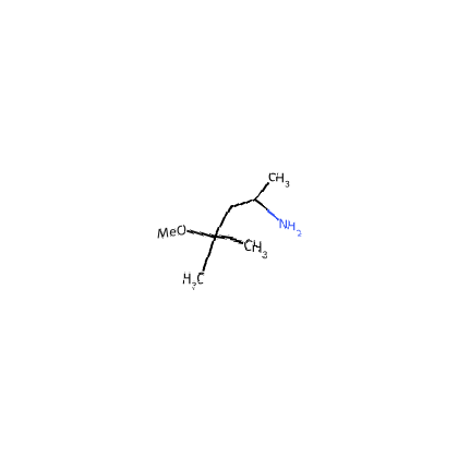 COC(C)(C)CC(C)N